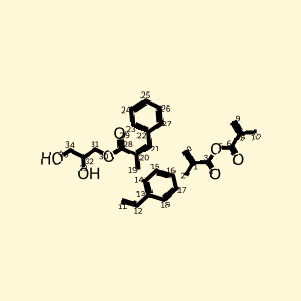 C=C(C)C(=O)OC(=O)C(=C)C.C=Cc1ccccc1.CC(=Cc1ccccc1)C(=O)OCC(O)CO